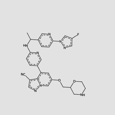 CC(Nc1ccc(-c2cc(OCC3CNCCO3)cn3ncc(C#N)c23)cn1)c1ccc(-n2cc(F)cn2)nc1